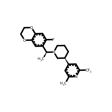 Cc1cc([C@@H]2CCCN([C@@H](C)c3cc4c(cc3F)OCCO4)C2)cc(C(F)(F)F)n1